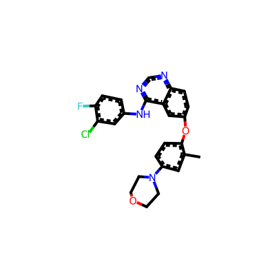 Cc1cc(N2CCOCC2)ccc1Oc1ccc2ncnc(Nc3ccc(F)c(Cl)c3)c2c1